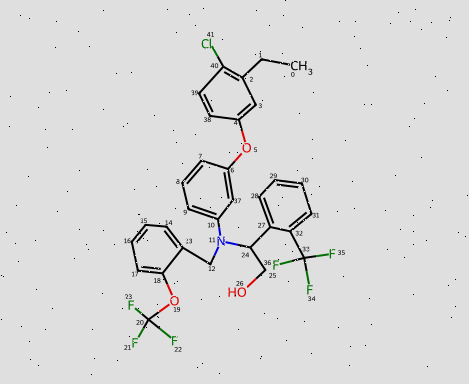 CCc1cc(Oc2cccc(N(Cc3ccccc3OC(F)(F)F)C(CO)c3ccccc3C(F)(F)F)c2)ccc1Cl